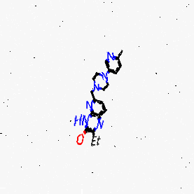 CCc1nc2ccc(CN3CCN(c4ccc(C)nc4)CC3)nc2[nH]c1=O